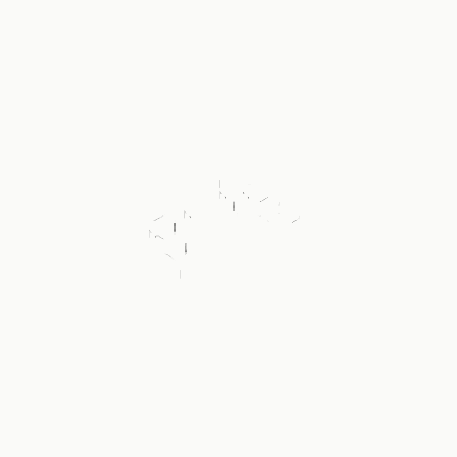 COC(=O)c1ccc(N(S)C(=O)NC2CCN(c3ccnc4cc(Cl)ccc34)CC2)cc1